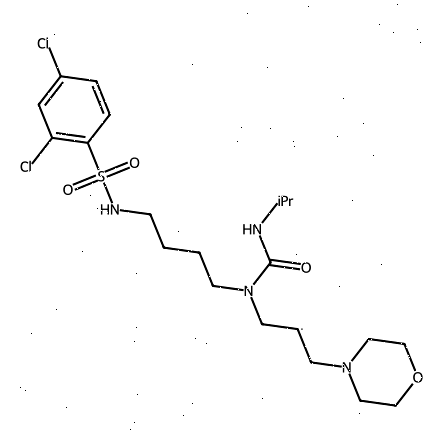 CC(C)NC(=O)N(C[CH]CN1CCOCC1)CCCCNS(=O)(=O)c1ccc(Cl)cc1Cl